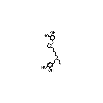 CCCN(CCCCCN1CCC[C@H]1Cc1ccc(O)c(O)c1)CCc1ccc(O)c(O)c1